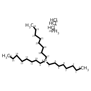 CCCCCCCCP(CCCCCCCC)CCCCCCCC.Cl.Cl.Cl.P